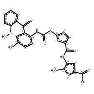 COc1ccccc1C(=O)c1cc(C)ccc1NC(=O)Nc1ncc(C(=O)Nc2cc(C(=O)O)nn2C)s1